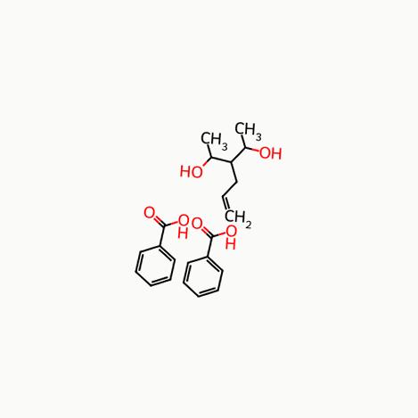 C=CCC(C(C)O)C(C)O.O=C(O)c1ccccc1.O=C(O)c1ccccc1